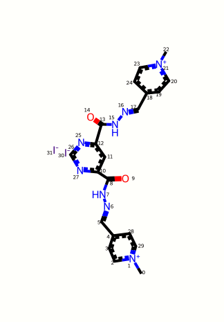 C[n+]1ccc(C=NNC(=O)c2cc(C(=O)NN=Cc3cc[n+](C)cc3)ncn2)cc1.[I-].[I-]